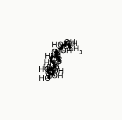 CC(O)O[C@H](CO)[C@@H](O)[C@H](O)CNC(=O)C1CSSC[C@@H](C(=O)NC2C(O)O[C@H](CO)[C@@H](O)[C@@H]2O)NCCN1